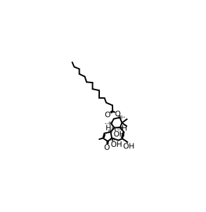 CCCCCCCCCCCCCC(=O)O[C@]1(C)C[C@@H](C)[C@@]2(O)[C@@H](C=C(CO)C[C@]3(O)C(=O)C(C)=C[C@@H]23)C1(C)C